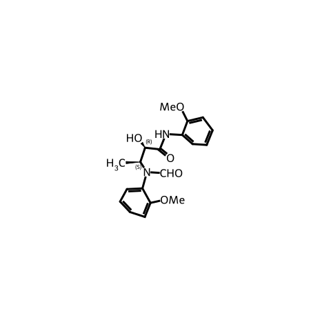 COc1ccccc1NC(=O)[C@H](O)[C@H](C)N(C=O)c1ccccc1OC